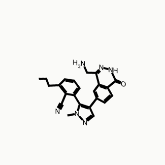 CCCc1cccc(-c2c(-c3ccc4c(=O)[nH]nc(CN)c4c3)cnn2C)c1C#N